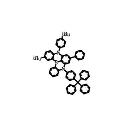 CC(C)(C)c1ccc(N2c3ccc(C(C)(C)C)cc3B3c4ccccc4N(c4ccc(C(c5ccccc5)(c5ccccc5)c5ccccc5)cc4)c4cc(-c5ccccc5)cc2c43)cc1